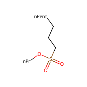 CCCCCCCCS(=O)(=O)OCCC